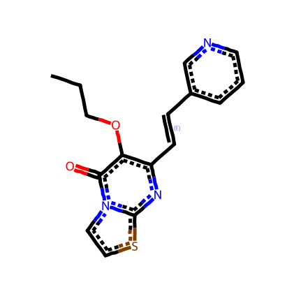 CCCOc1c(/C=C/c2cccnc2)nc2sccn2c1=O